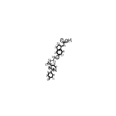 Cc1ccc(-c2nccc(N(C)CCCOc3ccc4c(c3)CC[C@H]4CC(=O)O)n2)cc1